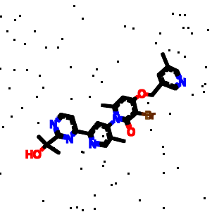 Cc1cncc(COc2cc(C)n(-c3cc(-c4ccnc(C(C)(C)O)n4)ncc3C)c(=O)c2Br)c1